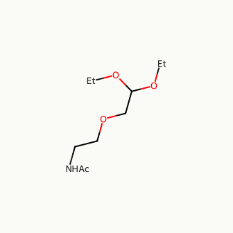 CCOC(COCCNC(C)=O)OCC